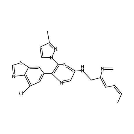 C=N/C(=C\C=C/C)CNc1cnc(-c2cc(Cl)c3ncsc3c2)c(-n2ccc(C)n2)n1